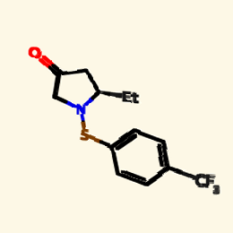 CC[C@@H]1CC(=O)CN1Sc1ccc(C(F)(F)F)cc1